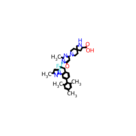 Cc1cc(C)c(-c2ccc([C@@H](Oc3cc(N4CCC5(CC4)CNC(C(=O)O)C5)nc(C)n3)C(F)(F)F)c(-n3ccc(C)n3)c2)c(C)c1